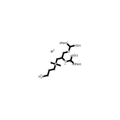 CCCCCCCCC(CCCCC)OCC(C[N+](C)(C)CCCN)OC(CCCCC)CCCCCCCC.[Br-]